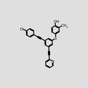 Cc1cc(Sc2cc(C#Cc3ccc(Cl)cc3)cc(C#Cc3ccccn3)c2)ccc1O